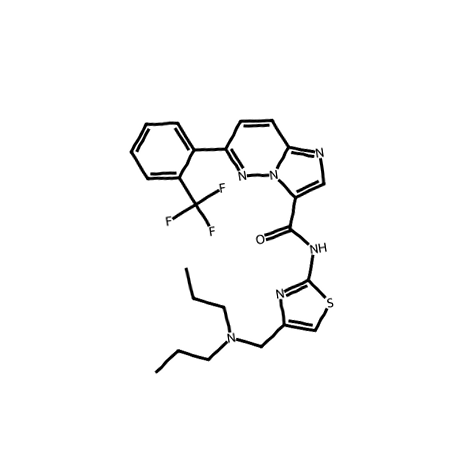 CCCN(CCC)Cc1csc(NC(=O)c2cnc3ccc(-c4ccccc4C(F)(F)F)nn23)n1